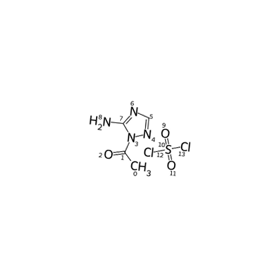 CC(=O)n1ncnc1N.O=S(=O)(Cl)Cl